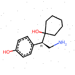 NC[C@@H](c1ccc(O)cc1)C1(O)CCCCC1